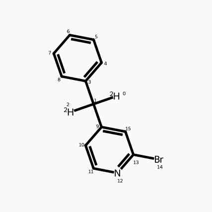 [2H]C([2H])(c1ccccc1)c1ccnc(Br)c1